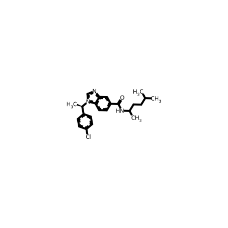 CC(C)CCC(C)NC(=O)c1ccc2c(c1)ncn2[C@H](C)c1ccc(Cl)cc1